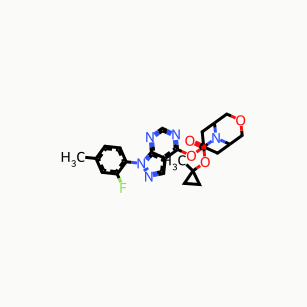 Cc1ccc(-n2ncc3c(OC4CC5COCC(C4)N5C(=O)OC4(C)CC4)ncnc32)c(F)c1